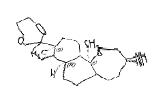 C[C@]12CCC(=N)CCC1CC[C@@H]1C2CC[C@@]2(C)C1CCC21OCCO1